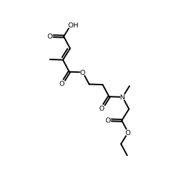 CCOC(=O)CN(C)C(=O)CCOC(=O)C(C)=CC(=O)O